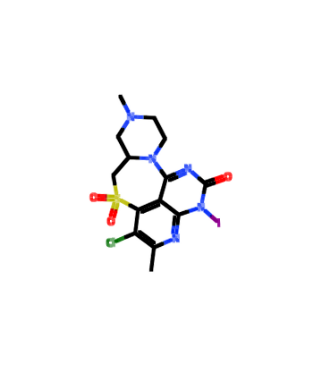 Cc1nc2c3c(nc(=O)n2I)N2CCN(C)CC2CS(=O)(=O)c3c1Cl